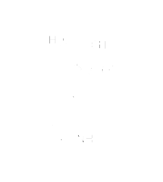 CC(C)SC(=O)c1ccc2[nH]ccc2c1